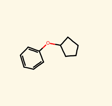 c1ccc(OC2CCCC2)cc1